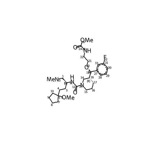 CNC[C@H](CCC1(OC)CCCC1)NC(=O)N1CCC[C@@H]([C@@H](OCCNC(=O)OC)c2cccc(F)c2)C1